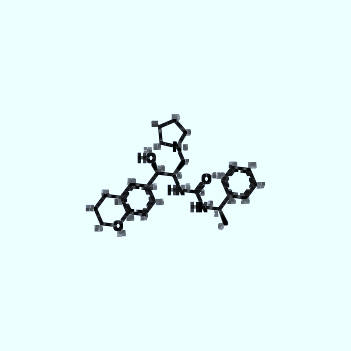 C[C@@H](NC(=O)N[C@H](CN1CCCC1)[C@H](O)c1ccc2c(c1)CCCO2)c1ccccc1